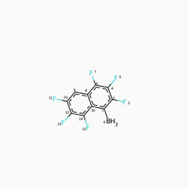 Bc1c(F)c(F)c(F)c2cc(F)c(F)c(F)c12